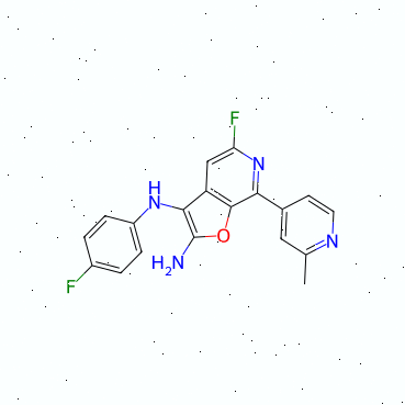 Cc1cc(-c2nc(F)cc3c(Nc4ccc(F)cc4)c(N)oc23)ccn1